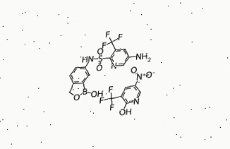 Nc1cnc(S(=O)(=O)Nc2ccc3c(c2)B(O)OC3)c(C(F)(F)F)c1.O=[N+]([O-])c1cnc(O)c(C(F)(F)F)c1